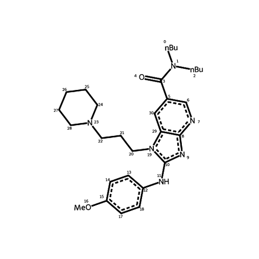 CCCCN(CCCC)C(=O)c1cnc2nc(Nc3ccc(OC)cc3)n(CCCN3CCCCC3)c2c1